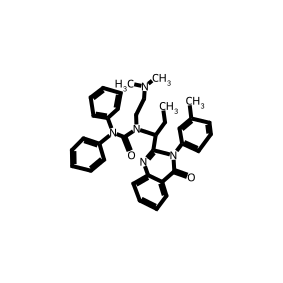 CCC(c1nc2ccccc2c(=O)n1-c1cccc(C)c1)N(CCN(C)C)C(=O)N(c1ccccc1)c1ccccc1